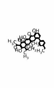 CCc1ccc(-c2ccc(O)c3c2C[C@]2(C)C[C@]4(C)C(C(C)C)C(O)=C(C(C)=O)C(=O)[C@]4(O)C(O)=C2C3=O)cc1